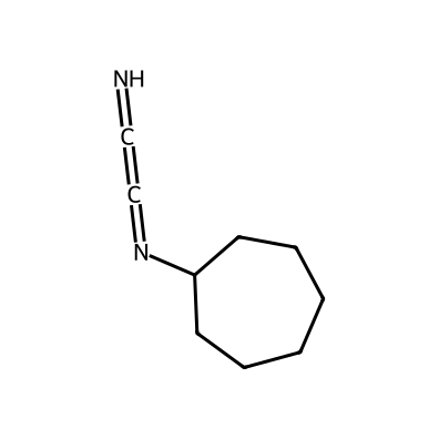 N=C=C=NC1CCCCCC1